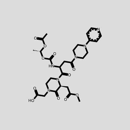 COC(=O)C[C@H]1C(=O)N(CC(=O)O)CCN1C(=O)C(CC(=O)N1CCN(c2ccncc2)CC1)NC(=O)O[C@H](C)OC(C)=O